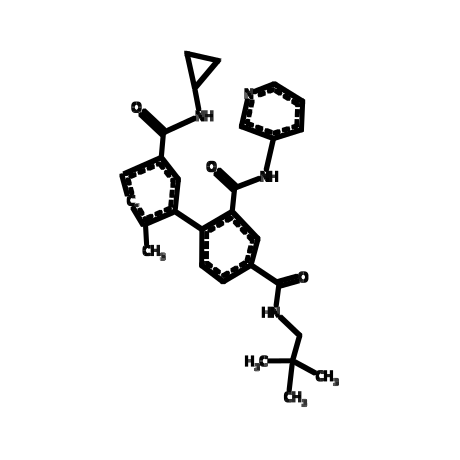 Cc1ccc(C(=O)NC2CC2)cc1-c1ccc(C(=O)NCC(C)(C)C)cc1C(=O)Nc1cccnc1